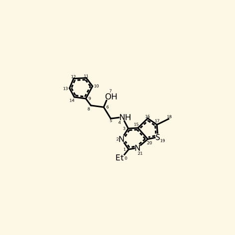 CCc1nc(NCC(O)Cc2ccccc2)c2cc(C)sc2n1